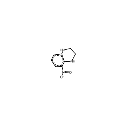 O=[N+]([O-])c1cccc2c1NCCN2